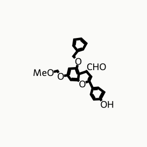 COCOc1cc(OCc2ccccc2)c2c(c1)OC(c1ccc(O)cc1)=CC2C=O